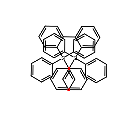 c1ccc([Si](c2ccccc2)(c2ccccc2)c2ccccc2-c2ccccc2[Si](c2ccccc2)(c2ccccc2)c2ccccc2)cc1